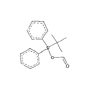 CC(C)(C)[Si](OC=O)(c1ccccc1)c1ccccc1